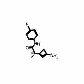 C[C@@H](C(=O)Nc1ccc(F)cc1)C12CC(N)(C1)C2